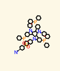 N#Cc1ccc(S(=O)(=O)c2ccc(-n3c4ccc(P(c5ccccc5)c5ccccc5)cc4c4c5c(c6cc(P(c7ccccc7)c7ccccc7)ccc6n5-c5ccccc5)c5c(c6cc(P(c7ccccc7)c7ccccc7)ccc6n5-c5ccccc5)c43)cc2)cc1